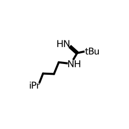 CC(C)CCCNC(=N)C(C)(C)C